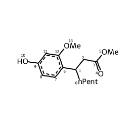 CCCCCC(CC(=O)OC)c1ccc(O)cc1OC